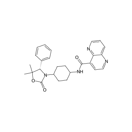 CC1(C)OC(=O)N(C2CCC(NC(=O)c3ccnc4cccnc34)CC2)[C@H]1c1ccccc1